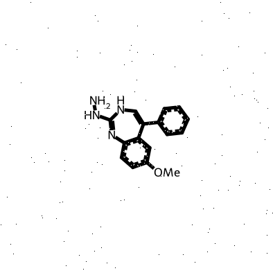 COc1ccc2c(c1)C(c1ccccc1)=CNC(NN)=N2